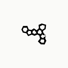 C1=CC2=C(CC1)Cc1cc3c(cc12)c1c(c2sc4ccccc4c23)CCC=C1